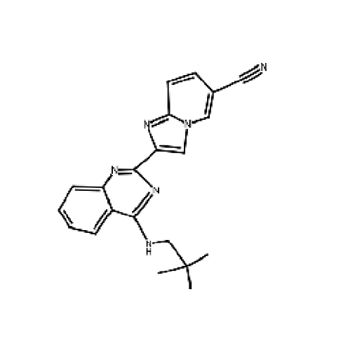 CC(C)(C)CNc1nc(-c2cn3cc(C#N)ccc3n2)nc2ccccc12